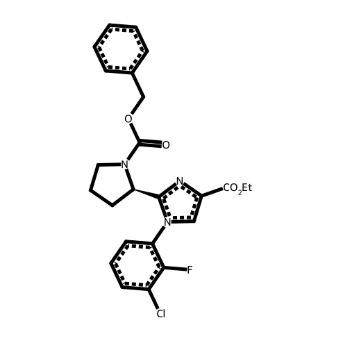 CCOC(=O)c1cn(-c2cccc(Cl)c2F)c([C@H]2CCCN2C(=O)OCc2ccccc2)n1